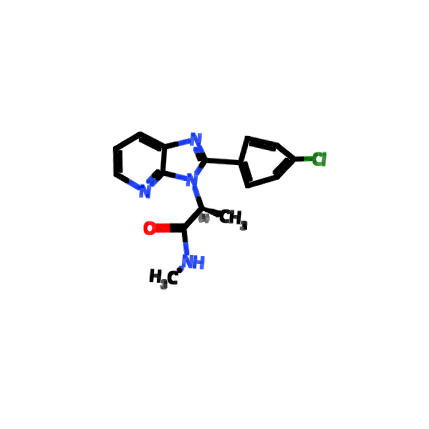 CNC(=O)[C@H](C)n1c(-c2ccc(Cl)cc2)nc2cccnc21